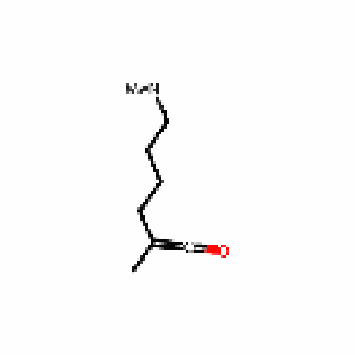 CNCCCCC(C)=C=O